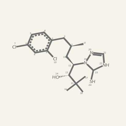 C[C@H](Cc1ccc(Cl)cc1Cl)C[C@H]([C@@H](O)C(C)(C)C)N1N=CNC1S